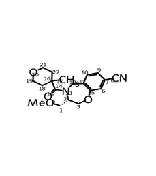 COC[C@H]1COc2cc(C#N)ccc2CN1C(=O)C1(C)CCOCC1